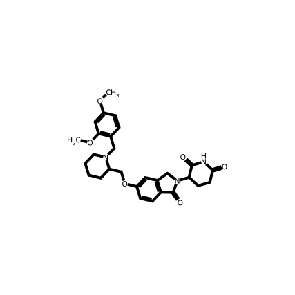 COc1ccc(CN2CCCCC2COc2ccc3c(c2)CN(C2CCC(=O)NC2=O)C3=O)c(OC)c1